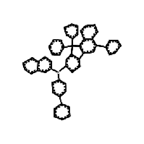 c1ccc(-c2ccc(N(c3ccc4c(c3)C(c3ccccc3)(c3ccccc3)c3c-4cc(-c4ccccc4)c4ccccc34)c3ccc4ccccc4c3)cc2)cc1